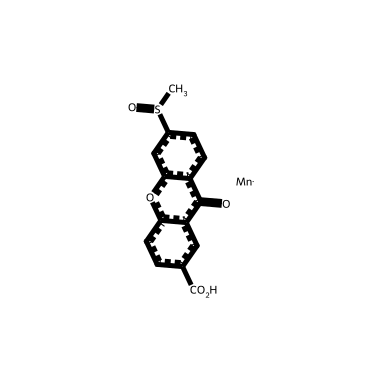 CS(=O)c1ccc2c(=O)c3cc(C(=O)O)ccc3oc2c1.[Mn]